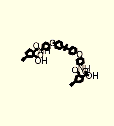 C#Cc1ccc(C(=O)Nc2ccc(Oc3ccc(C(C)(C)c4ccc(Oc5ccc(NC(=O)c6cc(C#C)ccc6C(=O)O)cc5)cc4)cc3)cc2)c(C(=O)O)c1